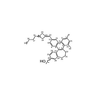 Cc1cc(C)c(C2=C(c3ccc(C=C4CN(CCCF)C4)cc3)c3ccc(C(=O)O)cc3CCC2)c(C)c1